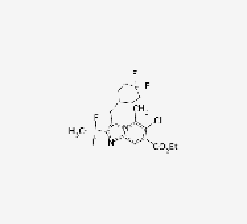 CCOC(=O)c1cc2nc(C(C)(F)F)c(CC3CCC(F)(F)CC3)n2c(C)c1Cl